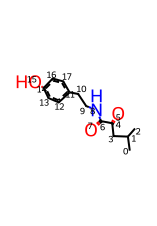 CC(C)CC(=O)C(=O)NCCc1ccc(O)cc1